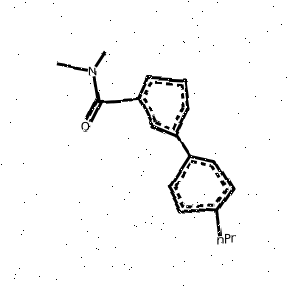 CCCc1ccc(-c2cccc(C(=O)N(C)C)c2)cc1